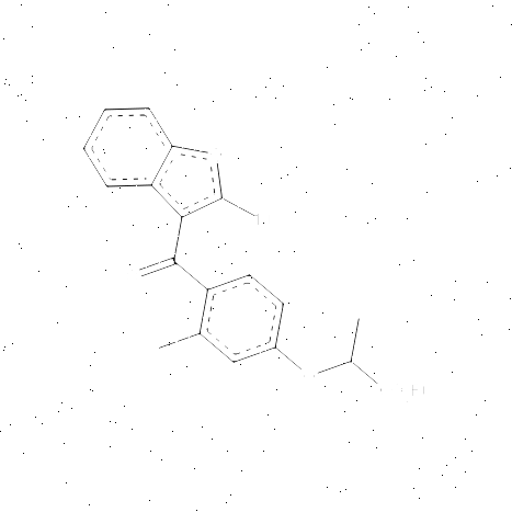 CCOC(=O)C(C)Oc1ccc(C(=O)c2c(CC)oc3ccccc23)c(C)c1